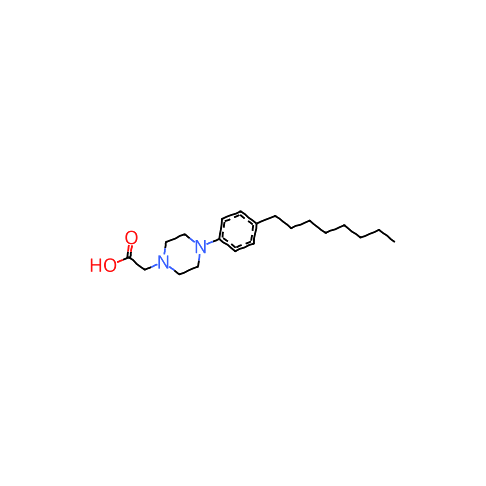 CCCCCCCCc1ccc(N2CCN(CC(=O)O)CC2)cc1